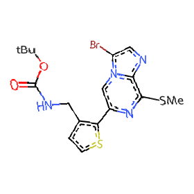 CSc1nc(-c2sccc2CNC(=O)OC(C)(C)C)cn2c(Br)cnc12